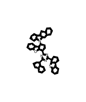 c1ccc2cc3c(cc2c1)c1ccccc1n3-c1ccc(-c2nc(-c3cccc4ccccc34)nc(-c3cccc4c3sc3ccccc34)n2)c2oc3ccccc3c12